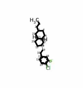 CCCC1CC[C@@H]2C[C@H](CCc3ccc(Cl)c(F)c3)CC[C@@H]2C1